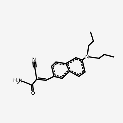 CCCN(CCC)c1ccc2cc(/C=C(\C#N)C(N)=O)ccc2c1